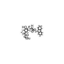 CC(C)(C)OC(=O)N1CCCc2ccc(C[C@H](NC(=O)OCC3c4ccccc4-c4ccccc43)C(=O)O)cc21